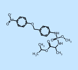 COP(=O)(Nc1ccc(COc2ccc([N+](=O)[O-])cc2)cc1)NC(C)C(=O)OC(C)C